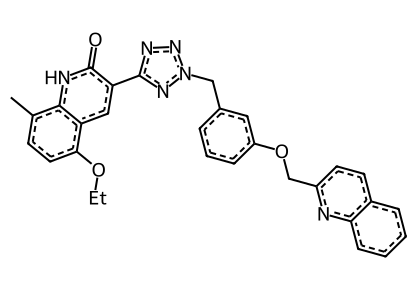 CCOc1ccc(C)c2[nH]c(=O)c(-c3nnn(Cc4cccc(OCc5ccc6ccccc6n5)c4)n3)cc12